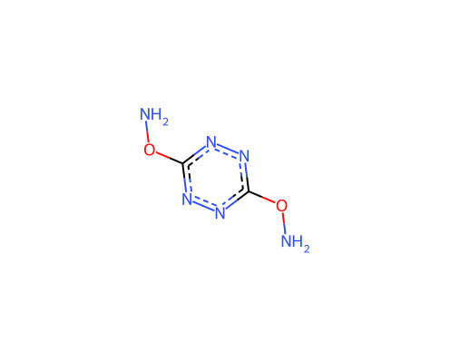 NOc1nnc(ON)nn1